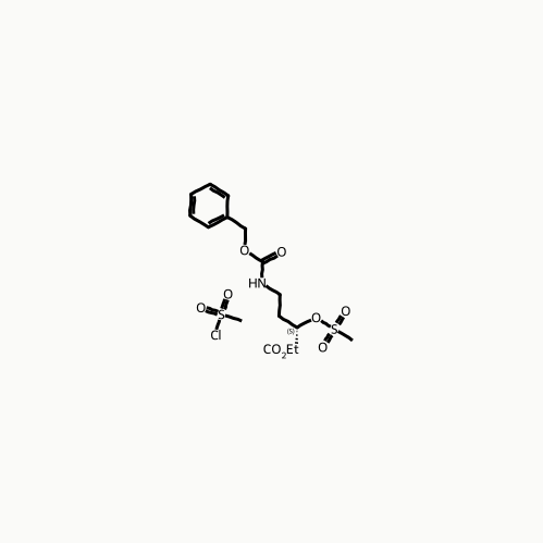 CCOC(=O)[C@H](CCNC(=O)OCc1ccccc1)OS(C)(=O)=O.CS(=O)(=O)Cl